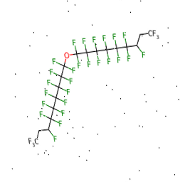 FC(CC(F)(F)F)C(F)(F)C(F)(F)C(F)(F)C(F)(F)C(F)(F)C(F)(F)OC(F)(F)C(F)(F)C(F)(F)C(F)(F)C(F)(F)C(F)(F)C(F)CC(F)(F)F